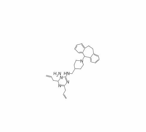 C=CCC1=NC(CC=C)N(N)C(NCC2CCN(C3c4ccccc4CCc4ccccc43)CC2)=N1